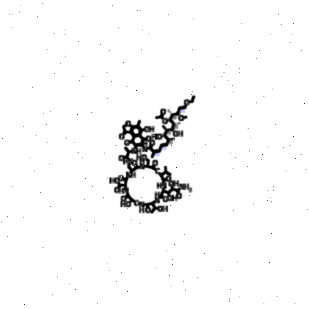 CCO/C=C/[C@H](OC)[C@@H](C)[C@@H](OC(C)=O)[C@H](C)[C@H](O)[C@H](C)[C@@H](O)[C@@H](C)/C=C/C=C(/C)C(=O)NC1=C(NC(C)C(=O)NCC2NC(=O)C(C(=O)O)NC(=O)C(O)CNC(=O)C(C(C)O)NC(=O)C(C(O)C(O)C(N)=O)NC(=O)C(C(C)C)CC(=O)C(CO)NC2=O)C(=O)c2c(c(O)c(C)c3c2C(=O)CO3)C1=O